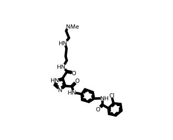 CNCCNCCCNC(=O)c1[nH]cnc1C(=O)Nc1ccc(NC(=O)c2ccccc2Cl)cc1